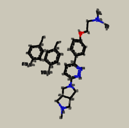 CCN(CC)CCOc1ccc(-c2ccc(N3CC4CN(C)CC4C3)nn2)cc1.Cc1ccc(S(=O)(=O)O)cc1.Cc1ccc(S(=O)(=O)O)cc1